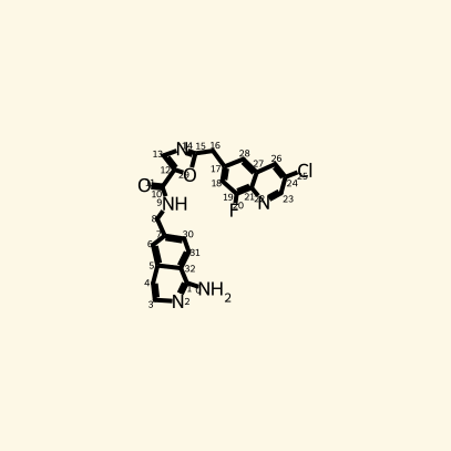 Nc1nccc2cc(CNC(=O)c3cnc(Cc4cc(F)c5ncc(Cl)cc5c4)o3)ccc12